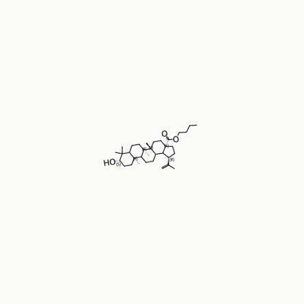 C=C(C)[C@@H]1CC[C@]2(C(=O)OCCCC)CC[C@]3(C)C(CCC4[C@@]5(C)CC[C@H](O)C(C)(C)C5CC[C@]43C)C12